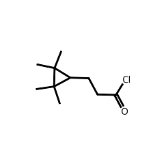 CC1(C)C(CCC(=O)Cl)C1(C)C